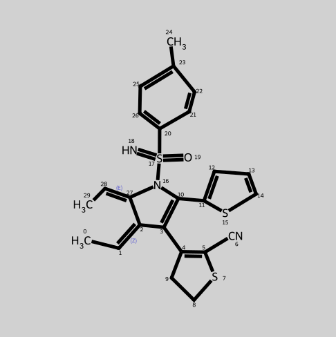 C/C=c1/c(C2=C(C#N)SCC2)c(-c2cccs2)n(S(=N)(=O)c2ccc(C)cc2)/c1=C/C